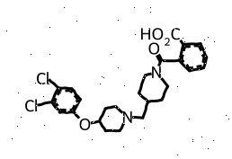 O=C(O)c1ccccc1C(=O)N1CCC(CN2CCC(Oc3ccc(Cl)c(Cl)c3)CC2)CC1